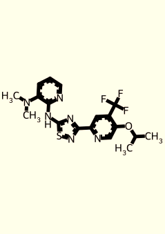 CC(C)Oc1cnc(-c2nsc(Nc3ncccc3N(C)C)n2)cc1C(F)(F)F